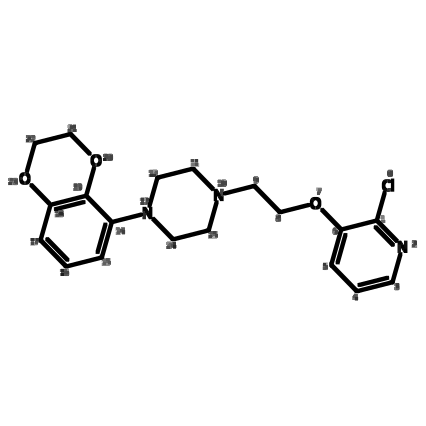 Clc1ncccc1OCCN1CCN(c2cccc3c2OCCO3)CC1